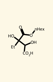 CCCCCCOC(=O)C(O)(CC)C(O)C(=O)O